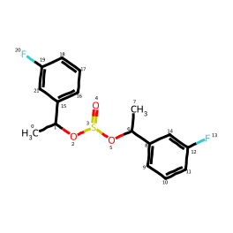 CC(OS(=O)OC(C)c1cccc(F)c1)c1cccc(F)c1